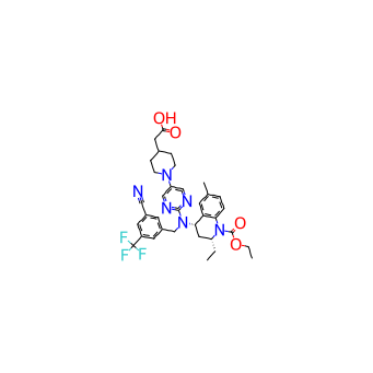 CCOC(=O)N1c2ccc(C)cc2[C@@H](N(Cc2cc(C#N)cc(C(F)(F)F)c2)c2ncc(N3CCC(CC(=O)O)CC3)cn2)C[C@H]1CC